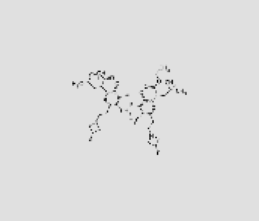 CCOC(=O)C(CC(C)C)n1cc(CCN2CC(F)C2)c(C)c(F)c1=O.Cc1c(CCN2CC(F)C2)cn(C(CC(C)C)C(=O)O)c(=O)c1F